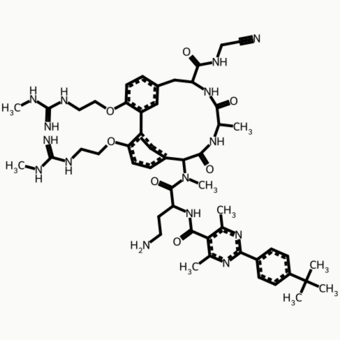 CNC(=N)NCCOc1ccc2cc1-c1cc(ccc1OCCNC(=N)NC)C(N(C)C(=O)C(CCN)NC(=O)c1c(C)nc(-c3ccc(C(C)(C)C)cc3)nc1C)C(=O)NC(C)C(=O)NC(C(=O)NCC#N)C2